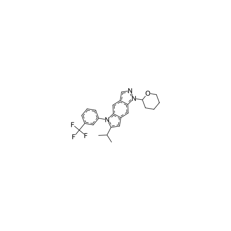 CC(C)c1cc2cc3c(cnn3C3CCCCO3)cc2n1-c1cccc(C(F)(F)F)c1